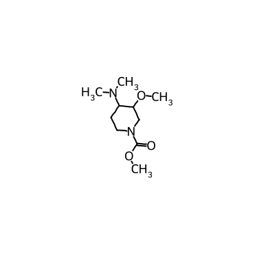 COC(=O)N1CCC(N(C)C)C(OC)C1